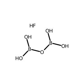 F.OB(O)OB(O)O